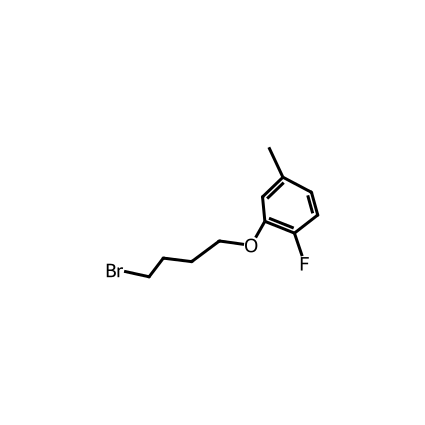 Cc1ccc(F)c(OCCCCBr)c1